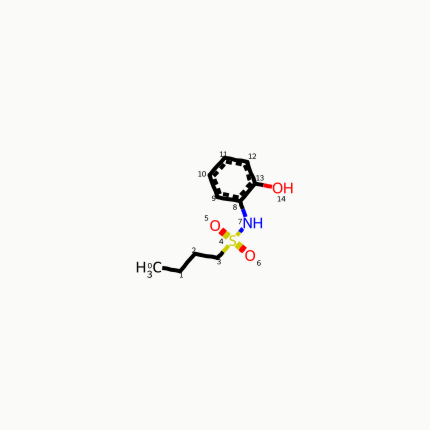 CCCCS(=O)(=O)Nc1ccccc1O